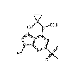 CC(C)(C)C1(N(C(=O)O)c2nc(S(C)(=O)=O)nn3c(C#N)cnc23)CC1